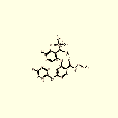 CONC(=O)c1cnc(Nc2ccc(F)cn2)cc1Nc1ccc(Cl)cc1N(C)S(C)(=O)=O